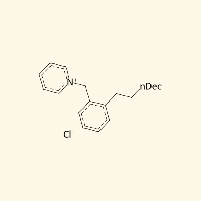 CCCCCCCCCCCCc1ccccc1C[n+]1ccccc1.[Cl-]